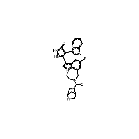 O=C(N1CCn2cc(-c3[nH][nH]c(=O)c3-c3cnc4ccccn34)c3cc(F)cc(c32)C1)N1CC2CC1CN2